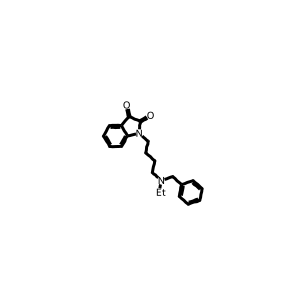 CCN(CCCCN1C(=O)C(=O)c2ccccc21)Cc1ccccc1